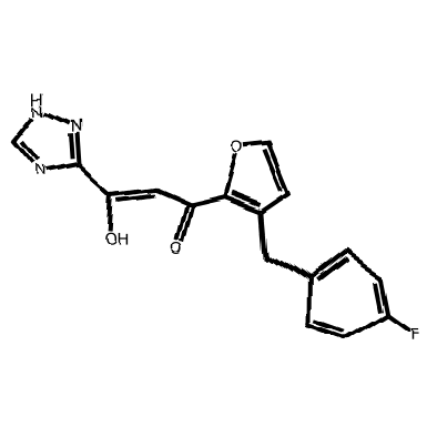 O=C(C=C(O)c1nc[nH]n1)c1occc1Cc1ccc(F)cc1